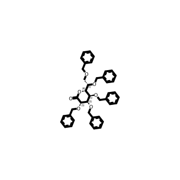 O=C1O[C@H]([C@H](COCc2ccccc2)OCc2ccccc2)[C@@H](OCc2ccccc2)[C@H](OCc2ccccc2)[C@@H]1OCc1ccccc1